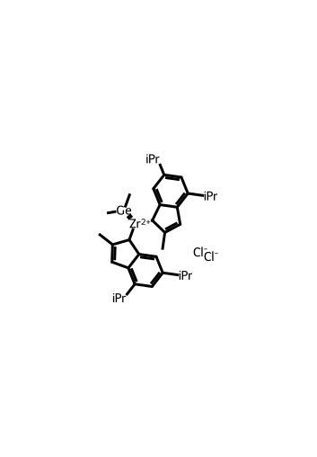 CC1=Cc2c(C(C)C)cc(C(C)C)cc2[CH]1[Zr+2]([CH]1C(C)=Cc2c(C(C)C)cc(C(C)C)cc21)=[Ge]([CH3])[CH3].[Cl-].[Cl-]